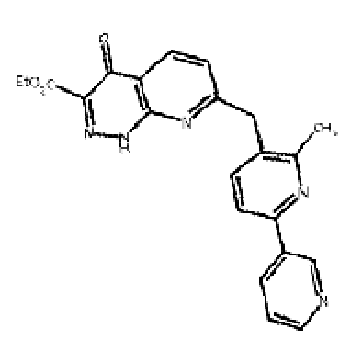 CCOC(=O)c1n[nH]c2nc(Cc3ccc(-c4cccnc4)nc3C)ccc2c1=O